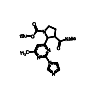 CNC(=O)C1CCN(C(=O)OC(C)(C)C)C1c1cc(C)nc(-n2ccnc2)n1